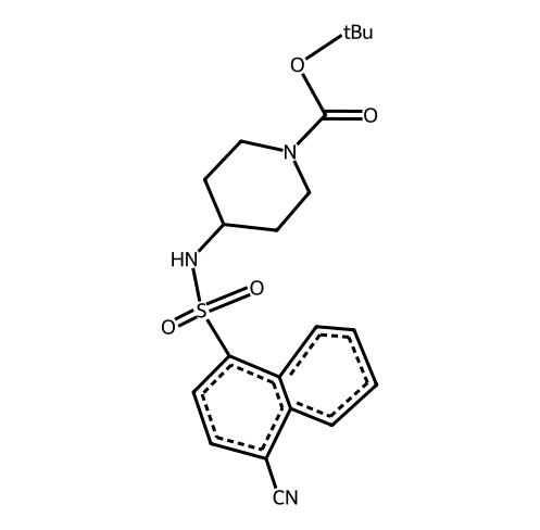 CC(C)(C)OC(=O)N1CCC(NS(=O)(=O)c2ccc(C#N)c3ccccc23)CC1